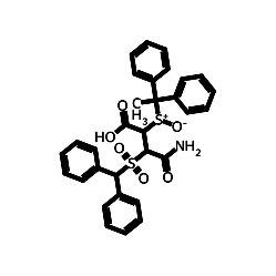 CC(c1ccccc1)(c1ccccc1)[S+]([O-])C(C(=O)O)C(C(N)=O)S(=O)(=O)C(c1ccccc1)c1ccccc1